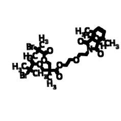 CC(C)(Br)C(=O)OCC(C)(COC(=O)C(C)(C)Br)C(=O)OCCOCCN1C(=O)[C@@H]2[C@H](C1=O)C1(C)C=CC2(C)O1